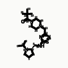 CC(C)N1CCC[C@H]1CNc1nc(CN2CCN(C(=O)C(C)(C)C)CC2)ns1